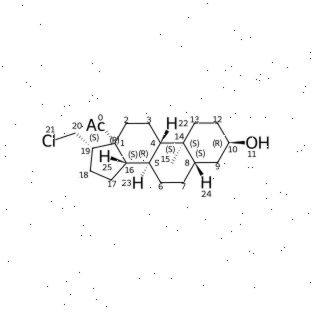 CC(=O)[C@]12CC[C@H]3[C@@H](CC[C@H]4C[C@H](O)CC[C@@]43C)[C@@H]1CC[C@@H]2CCl